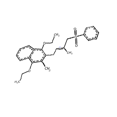 CCOc1c(C)c(C/C=C(\C)CS(=O)(=O)c2ccccc2)c(OCC)c2ccccc12